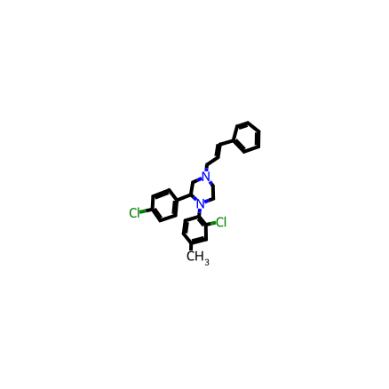 Cc1ccc(N2CCN(C/C=C/c3ccccc3)CC2c2ccc(Cl)cc2)c(Cl)c1